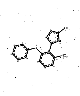 Cc1ccc(-c2c(Oc3ccccc3)cccc2[N+](=O)[O-])[nH]1